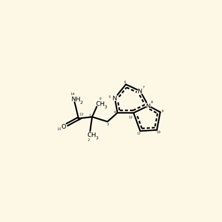 CC(C)(Cc1ncnn2cccc12)C(N)=O